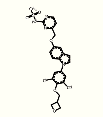 CS(=O)(=O)Nc1nccc(COc2ccc3c(ccn3-c3cc(Cl)c(OCC4COC4)c(C#N)c3)c2)n1